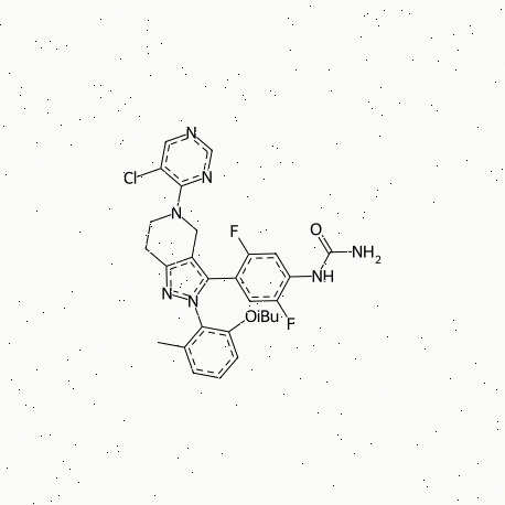 Cc1cccc(OCC(C)C)c1-n1nc2c(c1-c1cc(F)c(NC(N)=O)cc1F)CN(c1ncncc1Cl)CC2